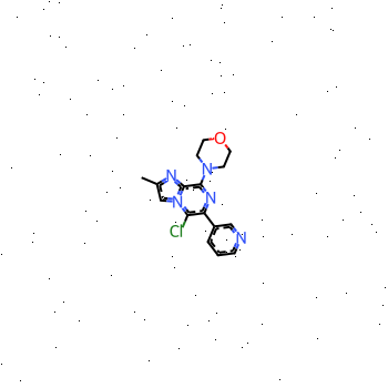 Cc1cn2c(Cl)c(-c3cccnc3)nc(N3CCOCC3)c2n1